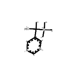 [CH2]C(O)(c1cncnc1)[Si](C)(C)C